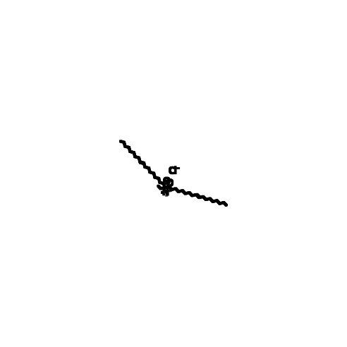 CCCCCCCCC=CCCCCCCCC(=O)C(CC)(C(=O)CCCCCCCC=CCCCCCCCC)[N+](C)(C)C.[Cl-]